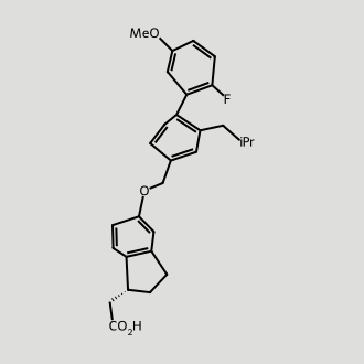 COc1ccc(F)c(-c2ccc(COc3ccc4c(c3)CC[C@@H]4CC(=O)O)cc2CC(C)C)c1